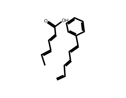 C=CC=CC=Cc1ccccc1.CC=CC=CC(=O)O